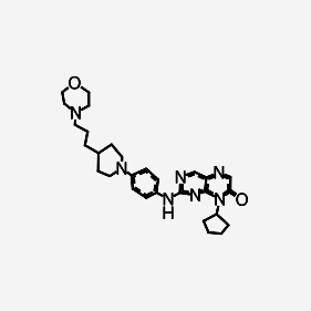 O=c1cnc2cnc(Nc3ccc(N4CCC(CCCN5CCOCC5)CC4)cc3)nc2n1C1CCCC1